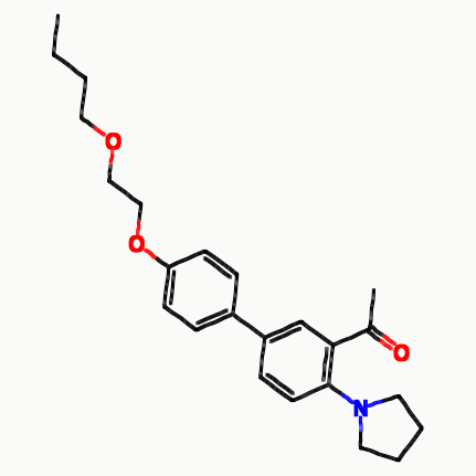 CCCCOCCOc1ccc(-c2ccc(N3CCCC3)c(C(C)=O)c2)cc1